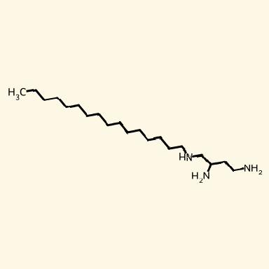 CCCCCCCCCCCCCCCCNCC(N)CCN